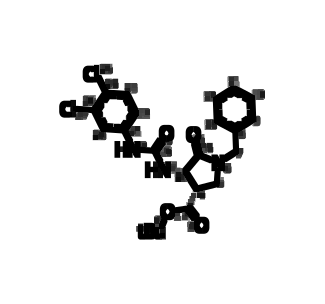 CC(C)(C)OC(=O)[C@H]1CN(Cc2ccccc2)C(=O)[C@H]1NC(=O)Nc1ccc(Cl)c(Cl)c1